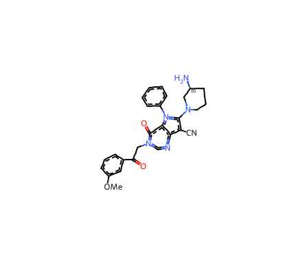 COc1cccc(C(=O)Cn2cnc3c(C#N)c(N4CCC[C@H](N)C4)n(-c4ccccc4)c3c2=O)c1